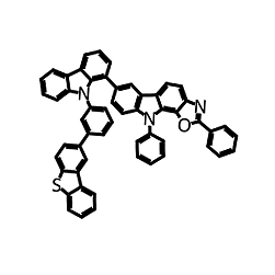 c1ccc(-c2nc3ccc4c5cc(-c6cccc7c8ccccc8n(-c8cccc(-c9ccc%10sc%11ccccc%11c%10c9)c8)c67)ccc5n(-c5ccccc5)c4c3o2)cc1